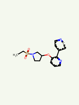 CCS(=O)(=O)N1CCC(Oc2cccnc2-c2ccncc2)C1